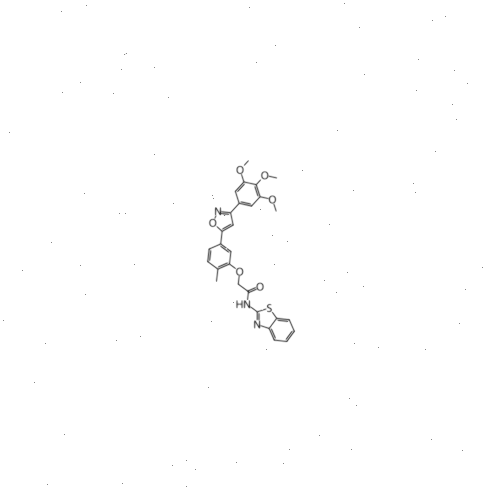 COc1cc(-c2cc(-c3ccc(C)c(OCC(=O)Nc4nc5ccccc5s4)c3)on2)cc(OC)c1OC